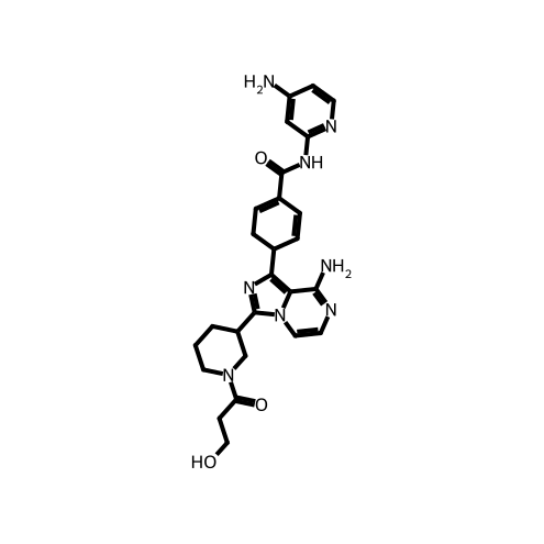 Nc1ccnc(NC(=O)C2=CCC(c3nc(C4CCCN(C(=O)CCO)C4)n4ccnc(N)c34)C=C2)c1